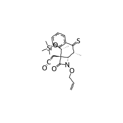 C=CCON1C(=O)[C@](C=C=O)([C@@H](C)O[Si](C)(C)C)[C@@H]1[C@@H](C)C(=S)c1ccccc1